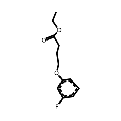 CCOC(=O)CCCOc1cccc(F)c1